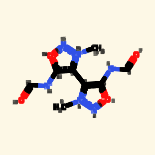 C[n+]1noc([N-]C=O)c1-c1c([N-]C=O)on[n+]1C